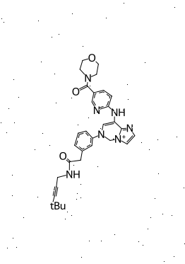 CC(C)(C)C#CCNC(=O)Cc1cccc(N2C=C(Nc3ccc(C(=O)N4CCOCC4)cn3)C3=NC=C[N+]3C2)c1